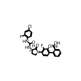 COc1c(-c2ccccc2CO)ccc(N2CC[C@@H](NC(O)Nc3ccc(Cl)cc3F)C2=O)c1F